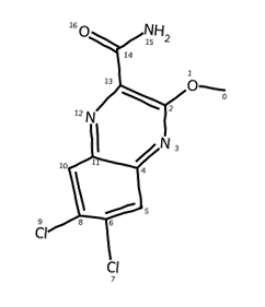 COc1nc2cc(Cl)c(Cl)cc2nc1C(N)=O